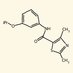 Cc1nc(C)c(C(=O)Nc2cccc(OC(C)C)c2)s1